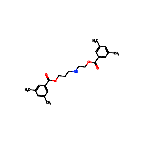 Cc1cc(C)cc(C(=O)OCCCNCCOC(=O)c2cc(C)cc(C)c2)c1